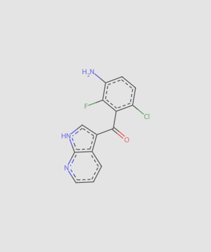 Nc1ccc(Cl)c(C(=O)c2c[nH]c3ncccc23)c1F